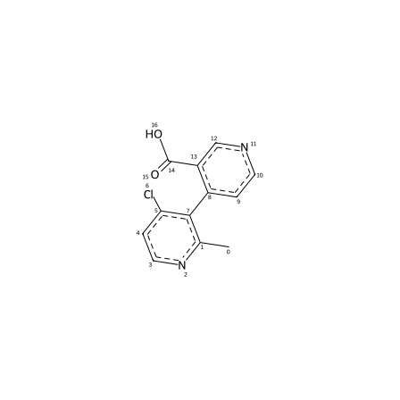 Cc1nccc(Cl)c1-c1ccncc1C(=O)O